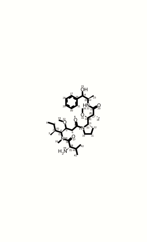 CC[C@H](C)[C@@H](C(CC(=O)N1CCC[C@H]1[C@H](OC)[C@@H](C)C(=O)N[C@H](C)C(O)c1ccccc1)OC)N(C)C(=O)[C@@H](N)C(C)C